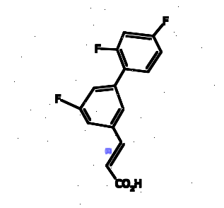 O=C(O)/C=C/c1cc(F)cc(-c2ccc(F)cc2F)c1